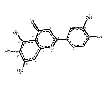 O=c1cc(-c2ccc(O)c(O)c2)oc2cc(O)c(O)c(O)c12